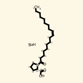 CCCCCCCC/C=C\CCCCCCCC(=O)N1CCC[C@H]1C(=O)O.[NaH]